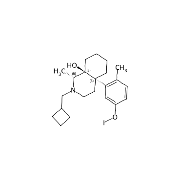 Cc1ccc(OI)cc1[C@@]12CCCC[C@@]1(O)[C@@H](C)N(CC1CCC1)CC2